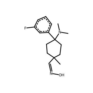 CN(C)C1(c2cccc(F)c2)CCC(C)(/C=N\O)CC1